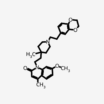 COc1ccc2c(C)cc(=O)n(CCC3(C)CCN(CCc4ccc5c(c4)OCCO5)CC3)c2c1